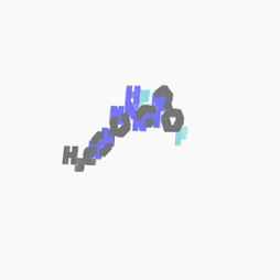 CN1CCN(c2ccc(Nc3ncnc(N4CCCC4c4ccc(F)cc4)c3F)nc2)CC1